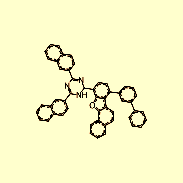 c1ccc(-c2cccc(-c3ccc(C4N=C(c5ccc6ccccc6c5)N=C(c5ccc6ccccc6c5)N4)c4oc5c6ccccc6ccc5c34)c2)cc1